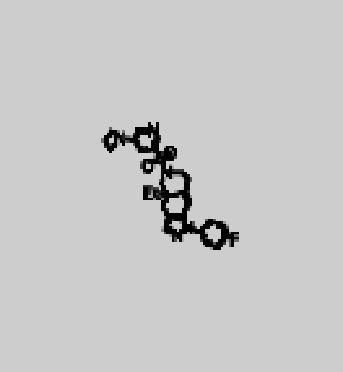 CC[C@]12Cc3cnn(-c4ccc(F)cc4)c3C=C1CCN(S(=O)(=O)c1cncc(N3CCC3)c1)C2